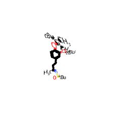 CC(CCc1ccc(O[Si](C)(C)C(C)(C)C)c(OC(C)(C)C)c1)=N[S+]([O-])C(C)(C)C